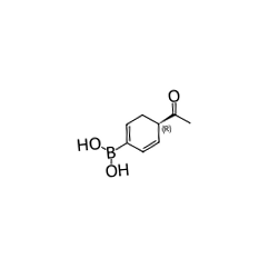 CC(=O)[C@H]1C=CC(B(O)O)=CC1